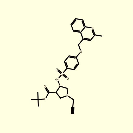 C#CCN1C[C@H](NS(=O)(=O)c2ccc(OCc3cc(C)nc4ccccc34)cc2)[C@H](C(=O)OC(C)(C)C)C1